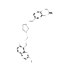 COc1cnc2ccc(F)c(CNC[C@H]3CC[C@H](NCc4cnc5c(n4)NC(=O)CS5)C3)c2n1